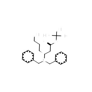 CCCC[C@@H](CC(=O)OC(C)(C)C)N(Cc1ccccc1)Cc1ccccc1